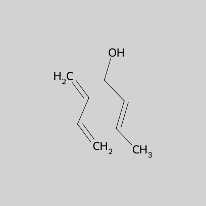 C/C=C/CO.C=CC=C